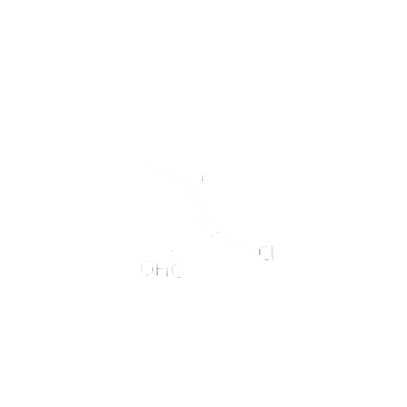 C/C=C(/Cl)C=O